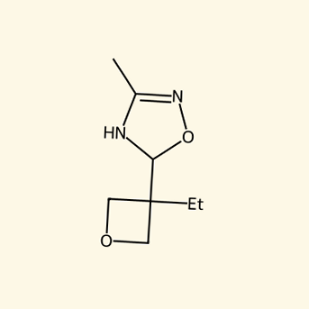 CCC1(C2NC(C)=NO2)COC1